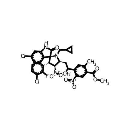 COC(=O)c1cc([N+](=O)[O-])c(C(O)C[C@H]2[C@@H]([N+](=O)[O-])[C@H](c3cccc(Cl)c3F)[C@]3(C(=O)Nc4cc(Cl)ccc43)N2CC2CC2)cc1C